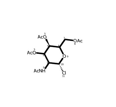 CC(=O)NC1C(OC(C)=O)[C@@H](OC(C)=O)C(COC(C)=O)O[C@@H]1Cl